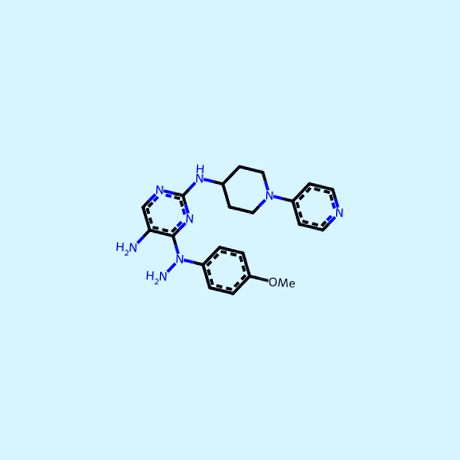 COc1ccc(N(N)c2nc(NC3CCN(c4ccncc4)CC3)ncc2N)cc1